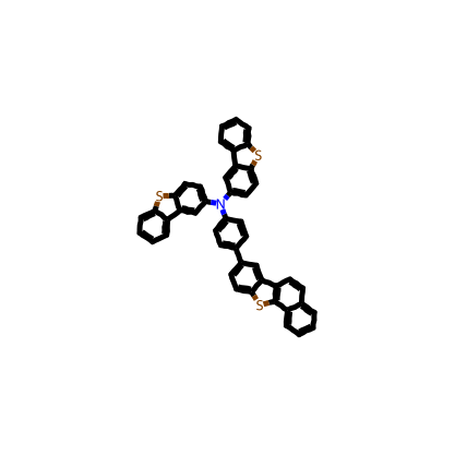 c1ccc2c(c1)ccc1c3cc(-c4ccc(N(c5ccc6sc7ccccc7c6c5)c5ccc6sc7ccccc7c6c5)cc4)ccc3sc21